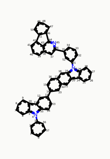 c1ccc(-n2c3ccccc3c3cc(-c4ccc5cc6c(cc5c4)c4ccccc4n6-c4cccc(-c5cc6cccc7c6c(n5)-c5ccccc5-7)c4)ccc32)cc1